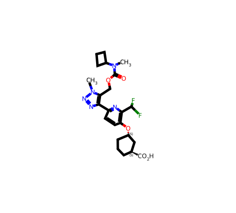 CN(C(=O)OCc1c(-c2ccc(O[C@H]3CCC[C@H](C(=O)O)C3)c(C(F)F)n2)nnn1C)C1CCC1